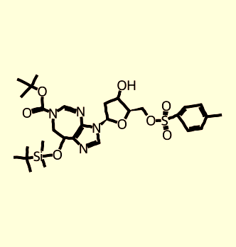 Cc1ccc(S(=O)(=O)OC[C@H]2O[C@@H](n3cnc4c3N=CN(C(=O)OC(C)(C)C)CC4O[Si](C)(C)C(C)(C)C)CC2O)cc1